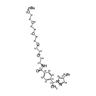 CCCCOCCOCCOCCOCCOCCNC(=O)c1ccc(C(C)n2cc(C(C)C)cn2)cc1